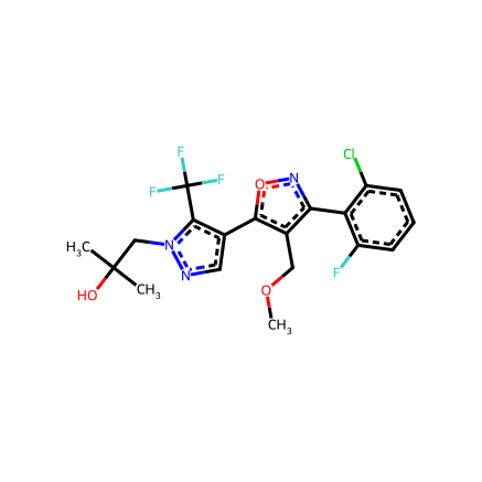 COCc1c(-c2c(F)cccc2Cl)noc1-c1cnn(CC(C)(C)O)c1C(F)(F)F